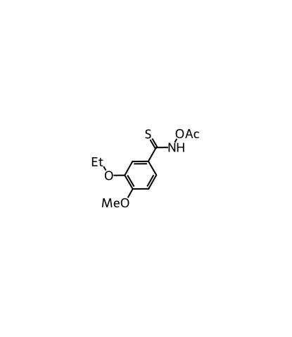 CCOc1cc(C(=S)NOC(C)=O)ccc1OC